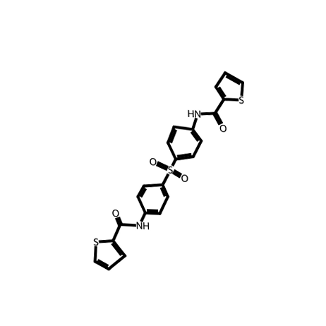 O=C(Nc1ccc(S(=O)(=O)c2ccc(NC(=O)c3cccs3)cc2)cc1)c1cccs1